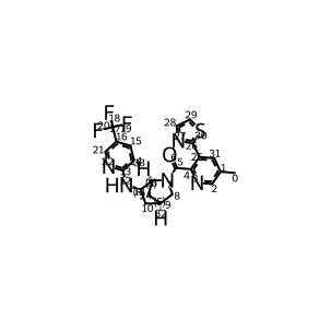 Cc1cnc(C(=O)N2C[C@H]3C[C@@H](Nc4ccc(C(F)(F)F)cn4)[C@@H]2C3)c(-c2nccs2)c1